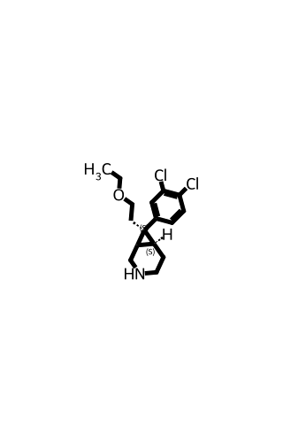 CCOCC[C@@]1(c2ccc(Cl)c(Cl)c2)C2CNCC[C@@H]21